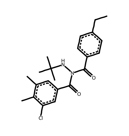 CCc1ccc(C(=O)N(NC(C)(C)C)C(=O)c2cc(C)c(C)c(Cl)c2)cc1